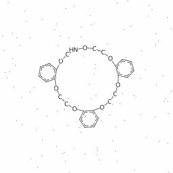 c1ccc2c(c1)OCCONCOc1ccccc1OCCOc1ccccc1OCCO2